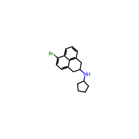 Brc1ccc2c3c(cccc13)CC(NC1CCCC1)C2